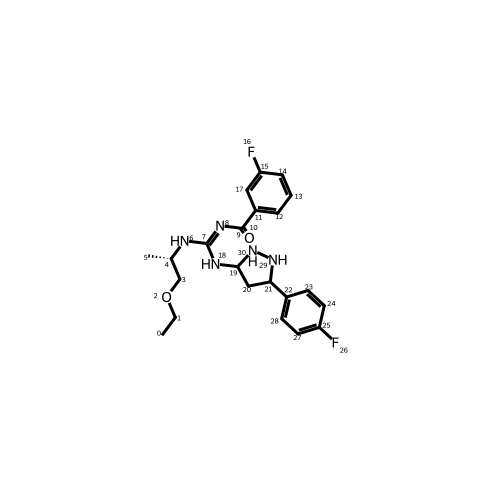 CCOC[C@H](C)N/C(=N/C(=O)c1cccc(F)c1)NC1CC(c2ccc(F)cc2)NN1